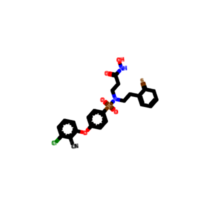 N#Cc1c(Cl)cccc1Oc1ccc(S(=O)(=O)N(CCC(=O)NO)CCC2=CC=CCC2=S)cc1